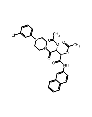 CC(=O)O[C@@H](C(=O)Nc1ccc2ccccc2c1)[C@@H](OC(C)=O)C(=O)N1CCN(c2cccc(Cl)c2)CC1